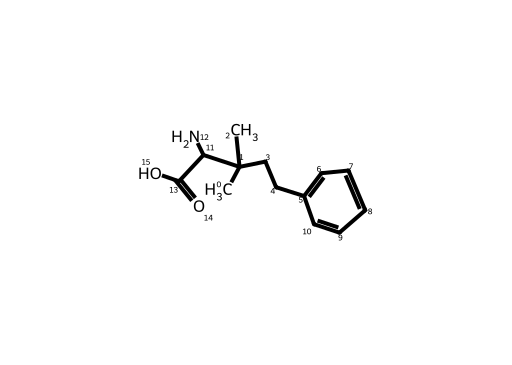 CC(C)(CCc1ccccc1)C(N)C(=O)O